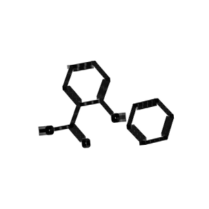 O=C(O)c1c[c]ccc1O.[c]1ccccc1